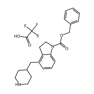 O=C(O)C(F)(F)F.O=C(OCc1ccccc1)N1CCc2c(CC3CCNCC3)cccc21